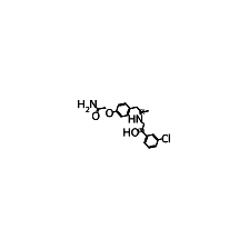 C[C@H](Cc1ccc(OCC(N)=O)cc1)NC[C@@H](O)c1cccc(Cl)c1